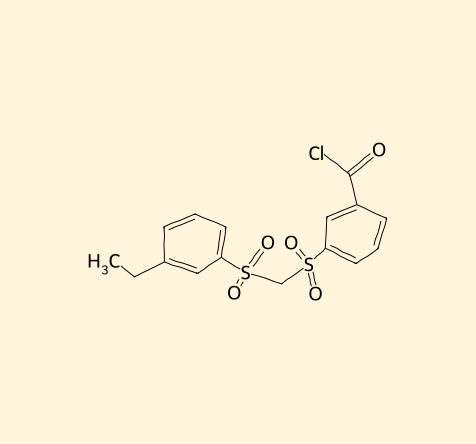 CCc1cccc(S(=O)(=O)CS(=O)(=O)c2cccc(C(=O)Cl)c2)c1